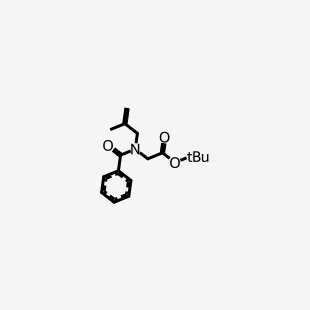 C=C(C)CN(CC(=O)OC(C)(C)C)C(=O)c1ccccc1